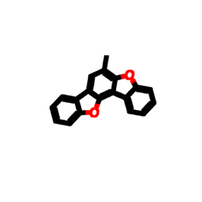 Cc1cc2c3ccccc3oc2c2c1oc1ccccc12